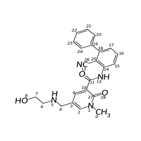 Cn1cc(CNCCO)cc(C(=O)Nc2cccc(-c3ccccc3)c2C#N)c1=O